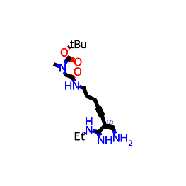 CCNC(=N)/C(C#CCCCNC(=O)CN(C)C(=O)OC(C)(C)C)=C\N